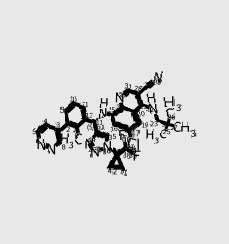 Cc1c(-c2ccnnc2)cccc1[C@H](Nc1cc(Cl)cc2c(NCC(C)(C)C)c(C#N)cnc12)c1cn(C2(C(F)F)CC2)nn1